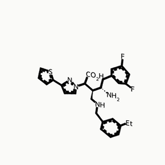 CCc1cccc(CNC[C@@H](C(C(=O)O)n2ccc(-c3cccs3)n2)[C@@H](N)Cc2cc(F)cc(F)c2)c1